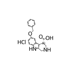 Cl.O=C(O)[C@@H]1CNCc2[nH]c3ccc(OCc4ccccc4)cc3c21